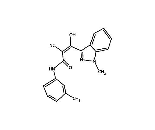 Cc1cccc(NC(=O)C(C#N)=C(O)c2nn(C)c3ccccc23)c1